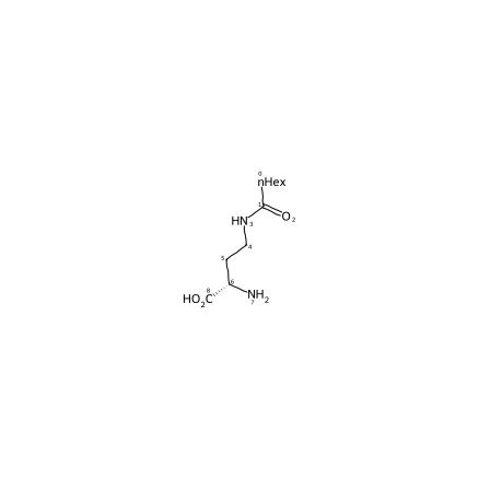 CCCCCCC(=O)NCC[C@H](N)C(=O)O